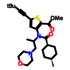 COC(=O)c1sc(C#CC(C)(C)C)cc1N(C(=O)[C@H]1CC[C@H](C)CC1)C(C)CN1CCOCC1